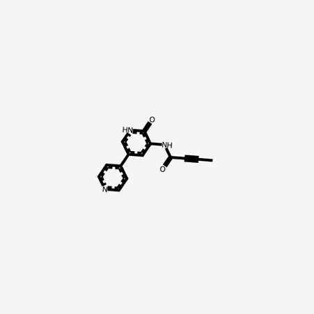 CC#CC(=O)Nc1cc(-c2ccncc2)c[nH]c1=O